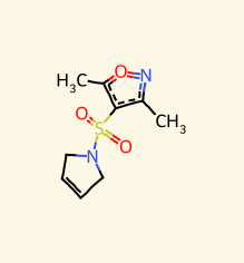 Cc1noc(C)c1S(=O)(=O)N1CC=CC1